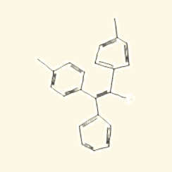 Cc1ccc([C]([Bi])=C(c2ccccc2)c2ccc(C)cc2)cc1